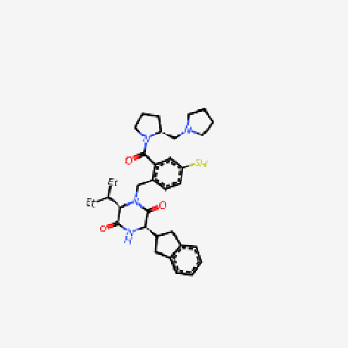 CCC(CC)[C@@H]1C(=O)N[C@H](C2Cc3ccccc3C2)C(=O)N1Cc1ccc(S)cc1C(=O)N1CCC[C@H]1CN1CCCC1